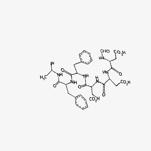 CC(C)C(C)NC(=O)C(Cc1ccccc1)NC(=O)C(Cc1ccccc1)NC(=O)C(CC(=O)O)NC(=O)C(CC(=O)O)NC(=O)C(CC(=O)O)NC=O